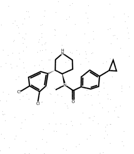 CN(C(=O)c1ccc(C2CC2)cc1)[C@@H]1CCNC[C@H]1c1ccc(Cl)c(Cl)c1